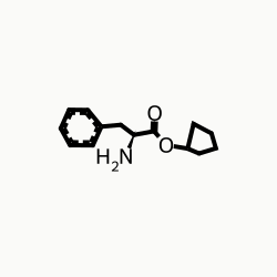 N[C@@H](Cc1ccccc1)C(=O)OC1CCCC1